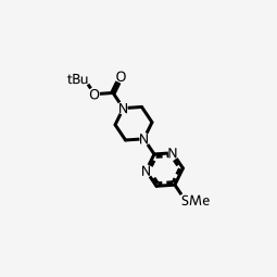 CSc1cnc(N2CCN(C(=O)OC(C)(C)C)CC2)nc1